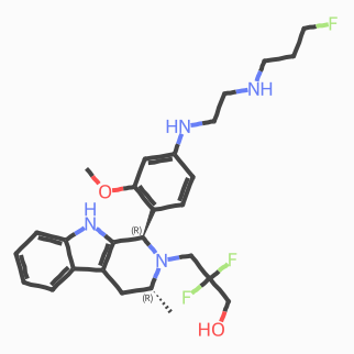 COc1cc(NCCNCCCF)ccc1[C@@H]1c2[nH]c3ccccc3c2C[C@@H](C)N1CC(F)(F)CO